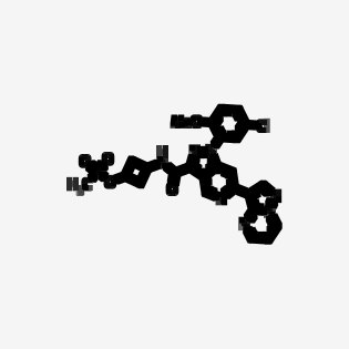 COc1ccc(Cl)cc1-n1nc(C(=O)NC2CC(OS(C)(=O)=O)C2)c2cnc(-c3cnn4cccnc34)cc21